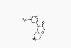 O=C1COC2(CCNCC2)CN1c1cncc(C(F)(F)F)c1